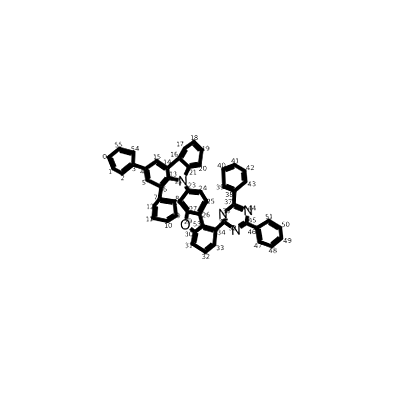 c1ccc(-c2cc(-c3ccccc3)c3c(c2)c2ccccc2n3-c2ccc3c(c2)oc2cccc(-c4nc(-c5ccccc5)nc(-c5ccccc5)n4)c23)cc1